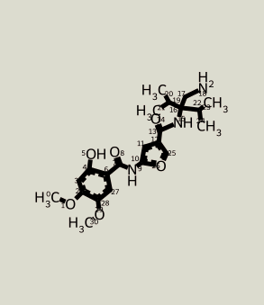 COc1cc(O)c(C(=O)Nc2cc(C(=O)NC(CN)(C(C)C)C(C)C)co2)cc1OC